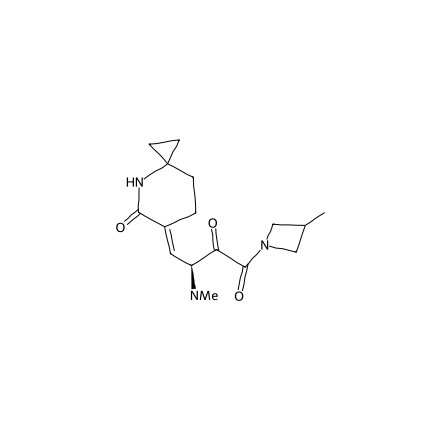 CN[C@@H](/C=C1\CCC2(CC2)NC1=O)C(=O)C(=O)N1CC(C)C1